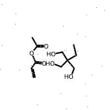 C=CC(=O)OC(C)=O.CCC(CO)(CO)CO